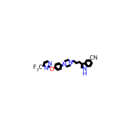 N#Cc1ccc2[nH]cc(CCCN3CCN(c4ccc(Oc5nccc(C(F)(F)F)n5)cc4)CC3)c2c1